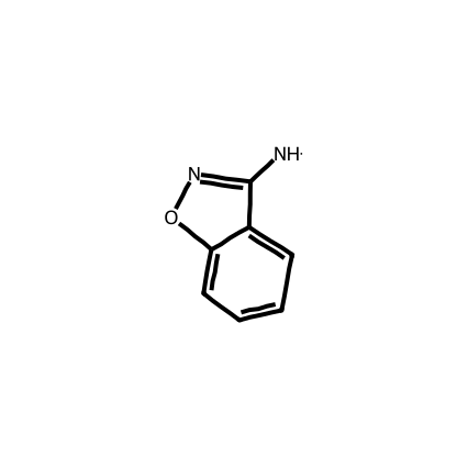 [NH]c1noc2ccccc12